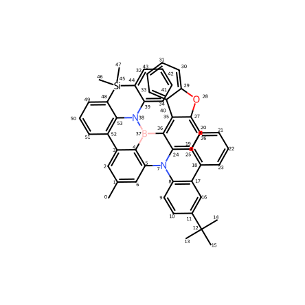 Cc1cc2c3c(c1)N(c1ccc(C(C)(C)C)cc1-c1ccccc1)c1ccc4oc5ccccc5c4c1B3N1c3ccccc3[Si](C)(C)c3cccc-2c31